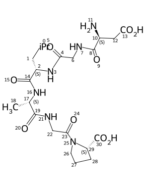 CC(C)C[C@H](NC(=O)CNC(=O)[C@@H](N)CC(=O)O)C(=O)N[C@@H](C)C(=O)NCC(=O)N1CCC[C@H]1C(=O)O